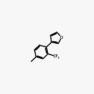 Cc1ccc(-c2ccoc2)c(C(F)(F)F)c1